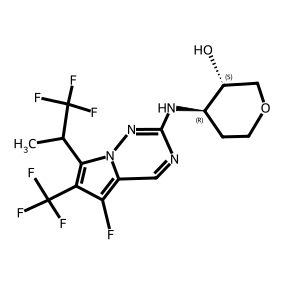 CC(c1c(C(F)(F)F)c(F)c2cnc(N[C@@H]3CCOC[C@H]3O)nn12)C(F)(F)F